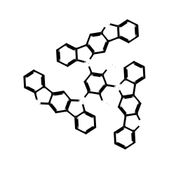 N#Cc1c(-n2c3ccccc3c3cc4sc5ccccc5c4cc32)cc(-n2c3ccccc3c3cc4sc5ccccc5c4cc32)c(C#N)c1-n1c2ccccc2c2cc3sc4ccccc4c3cc21